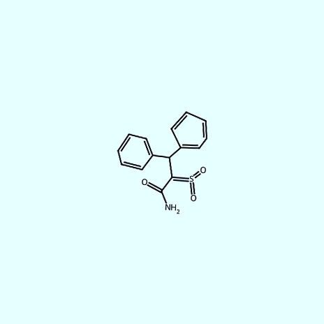 NC(=O)C(C(c1ccccc1)c1ccccc1)=S(=O)=O